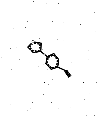 C#Cc1ccc(-c2ccoc2)cc1